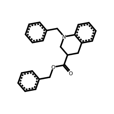 O=C(OCc1ccccc1)C1Cc2ccccc2N(Cc2ccccc2)C1